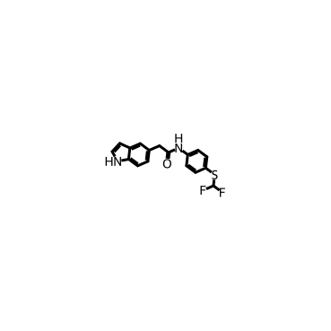 O=C(Cc1ccc2[nH]ccc2c1)Nc1ccc(SC(F)F)cc1